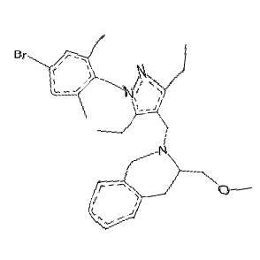 CCc1nn(-c2c(C)cc(Br)cc2C)c(CC)c1CN1Cc2ccccc2CC1COC